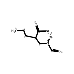 CCCC(CN(O)C=O)C(N)=O